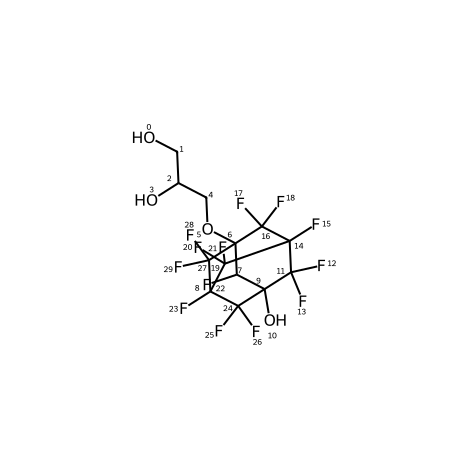 OCC(O)COC12C(F)C3(O)C(F)(F)C(F)(C1(F)F)C(F)(F)C(F)(C3(F)F)C2(F)F